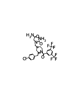 NC(=O)CN(C[C@H]1CCN(C(=O)c2cc(C(F)(F)F)cc(C(F)(F)F)c2)[C@@H](Cc2ccc(Cl)cc2)C1)C(N)=O